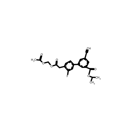 C#Cc1cc(C(=O)OC(C)C)cc(-c2ccc(CC(=O)OCOC(C)=O)c(F)c2)c1